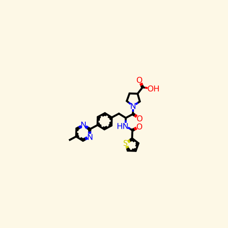 Cc1cnc(-c2ccc(CC(NC(=O)c3cccs3)C(=O)N3CCC(C(=O)O)C3)cc2)nc1